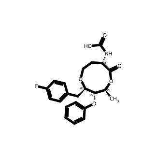 C[C@@H]1OC(=O)[C@@H](NC(=O)O)CCO[C@H](Cc2ccc(F)cc2)[C@H]1Oc1ccccc1